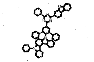 c1ccc(-c2nc(-c3cc(-c4ccccc4)c(-n4c5ccccc5c5c6c7ccccc7n(-c7ccccc7)c6ccc54)c(-c4ccccc4)c3)nc(-c3ccc4c(c3)oc3ccccc34)n2)cc1